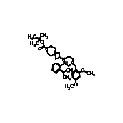 COc1ccc(CN2CCN(C3CC4(CCN(C(=O)OC(C)(C)C)CC4)C3)[C@H](c3ccccc3C(C)C)C2)c(OC)c1